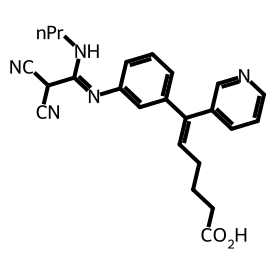 CCCNC(=Nc1cccc(C(=CCCCC(=O)O)c2cccnc2)c1)C(C#N)C#N